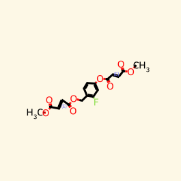 COC(=O)/C=C/C(=O)OCc1ccc(OC(=O)/C=C/C(=O)OC)cc1F